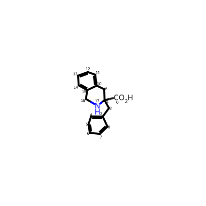 O=C(O)C1(Cc2ccccc2)Cc2ccccc2CN1